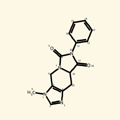 Cn1cnc2c1CN1C(=O)N(c3ccccc3)C(=O)C1C2